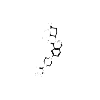 CC(C)(C)OC(=O)N1CCN(c2ccc3cnn(C4CCC(=O)NC4O)c(=O)c3c2)CC1